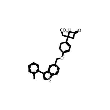 Cc1ccccc1-c1csc2ccc(COC3=CC=C(C4(CC(=O)O)CC(=O)C4)CC3)cc12